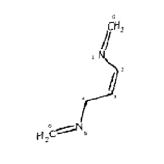 C=N/C=C\CN=C